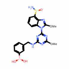 COc1nc(NCc2cccc(B(O)O)c2)nc(-n2c(OC)nc3c([S+](N)[O-])cccc32)n1